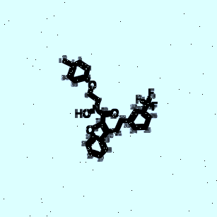 [CH]c1ccc(OCCN(O)C(=O)c2oc3ccccc3c2CCc2cccc(C(F)(F)F)c2)cc1